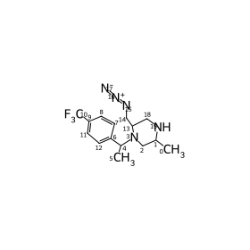 CC1CN(C(C)c2ccc(C(F)(F)F)cc2)C(CN=[N+]=[N-])CN1